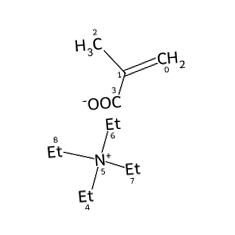 C=C(C)C(=O)[O-].CC[N+](CC)(CC)CC